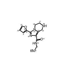 CC(C)(C)CNC(=O)c1nc(-c2ccco2)n2c1CNCC2